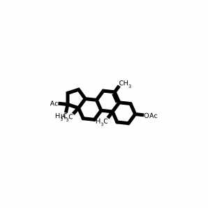 CC(=O)OC1CCC2(C)C(=C(C)CC3C2CCC2(C)C3CCC2(C)C(C)=O)C1